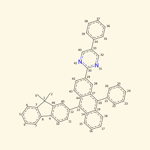 CC1(C)c2ccccc2-c2ccc(-c3c4ccccc4c(-c4ccccc4)c4cc(-c5ncc(-c6ccccc6)cn5)ccc34)cc21